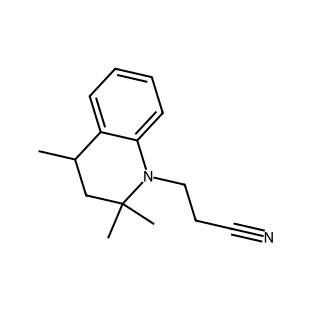 CC1CC(C)(C)N(CCC#N)c2ccccc21